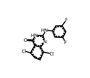 O=c1[nH]c(Nc2cc(F)cc(F)c2)nc2c(Cl)ccc(Cl)c12